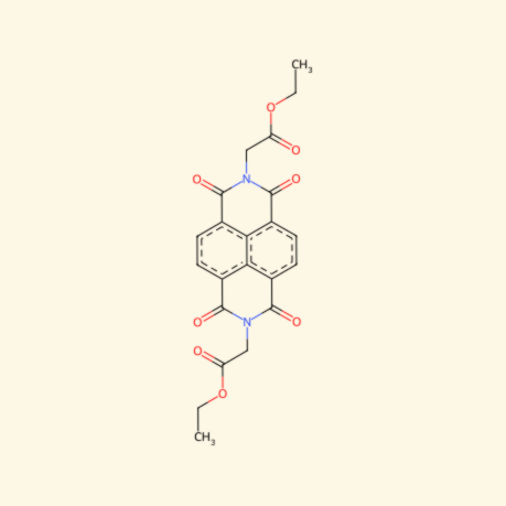 CCOC(=O)CN1C(=O)c2ccc3c4c(ccc(c24)C1=O)C(=O)N(CC(=O)OCC)C3=O